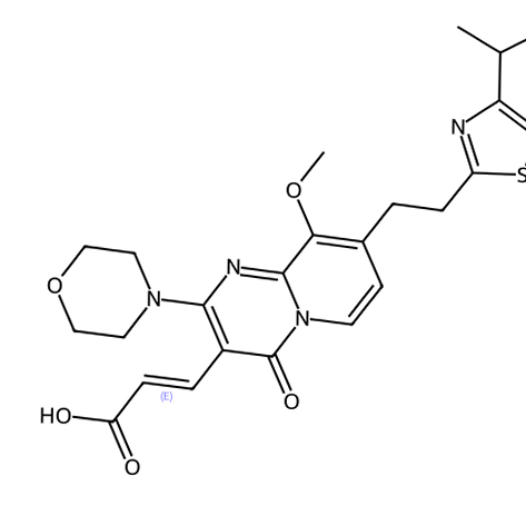 COc1c(CCc2nc(C(C)C)cs2)ccn2c(=O)c(/C=C/C(=O)O)c(N3CCOCC3)nc12